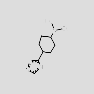 CCN(C=O)C1CCC(c2n[c]no2)CC1